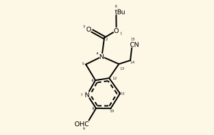 CC(C)(C)OC(=O)N1Cc2nc(C=O)ccc2C1CC#N